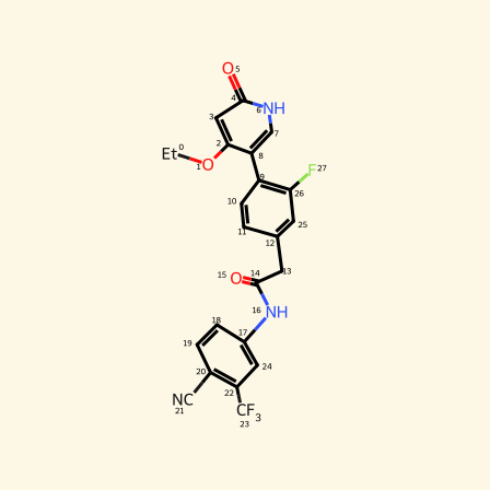 CCOc1cc(=O)[nH]cc1-c1ccc(CC(=O)Nc2ccc(C#N)c(C(F)(F)F)c2)cc1F